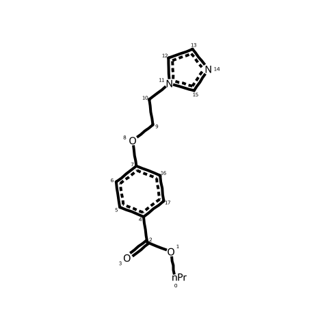 [CH2]CCOC(=O)c1ccc(OCCn2ccnc2)cc1